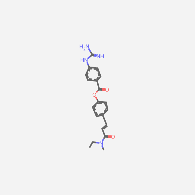 CCN(C)C(=O)C=Cc1ccc(OC(=O)c2ccc(NC(=N)N)cc2)cc1